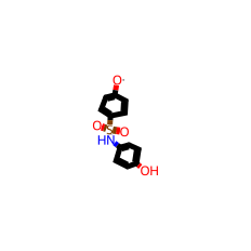 [O]c1ccc(S(=O)(=O)Nc2ccc(O)cc2)cc1